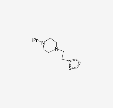 CC(C)N1CCN(CCc2cccs2)CC1